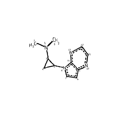 CN(C)C1CC1n1ccc2nccnc21